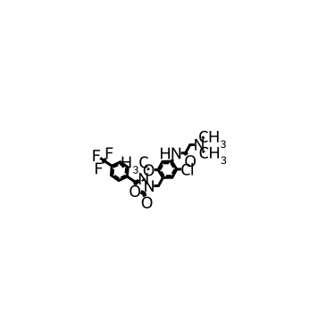 COc1cc(NC(=O)CN(C)C)c(Cl)cc1Cn1nc(-c2ccc(C(F)(F)F)cc2)oc1=O